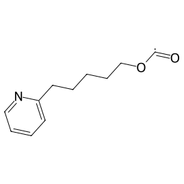 O=[C]OCCCCCc1ccccn1